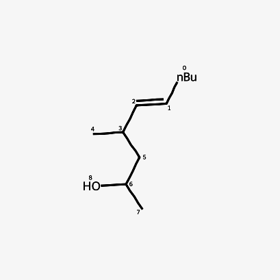 CCCCC=CC(C)CC(C)O